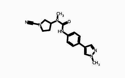 CN(C(=O)Nc1ccc(-c2cnn(C)c2)cc1)C1CCN(C#N)C1